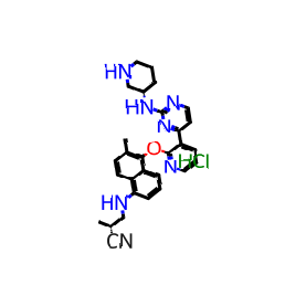 Cc1ccc2c(NC[C@@H](C)C#N)cccc2c1Oc1ncccc1-c1ccnc(N[C@H]2CCCNC2)n1.Cl